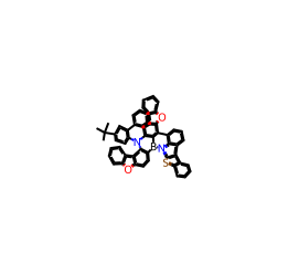 CC(C)(C)c1ccc(N2c3cc4c(oc5ccccc54)c4c3B(c3ccc5oc6ccccc6c5c32)n2c3sc5ccccc5c3c3cccc-4c32)c(-c2ccccc2)c1